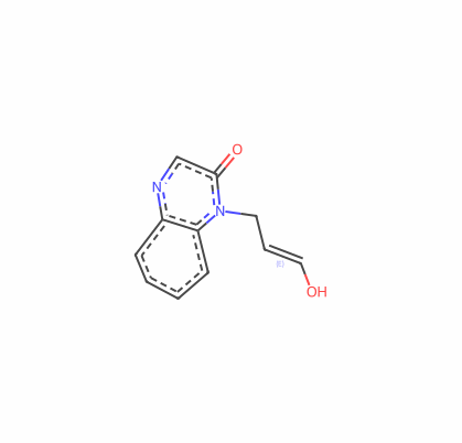 O=c1cnc2ccccc2n1C/C=C/O